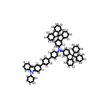 c1ccc(-n2c3ccccc3c3cc(-c4ccc(-c5ccc(N(c6ccc7c(c6)-c6ccccc6C7(c6ccccc6)c6ccccc6)c6ccc7c(c6)-c6ccccc6C76c7ccccc7-c7ccccc76)cc5)cc4)ccc32)cc1